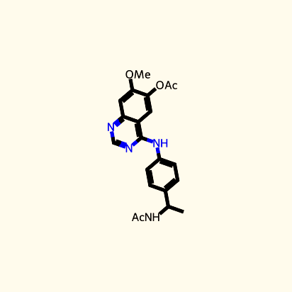 COc1cc2ncnc(Nc3ccc(C(C)NC(C)=O)cc3)c2cc1OC(C)=O